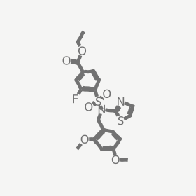 CCOC(=O)c1ccc(S(=O)(=O)N(Cc2ccc(OC)cc2OC)c2nccs2)c(F)c1